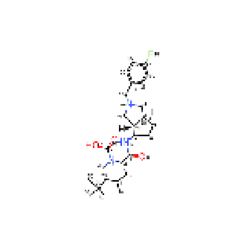 CC(C[C@@H](C(=O)N[C@@H]1CC[C@H]2CN(Cc3ccc(F)cc3)C[C@H]21)N(C)C(=O)O)CC(C)(C)C